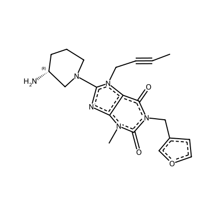 CC#CCn1c(N2CCC[C@@H](N)C2)nc2c1c(=O)n(Cc1ccoc1)c(=O)n2C